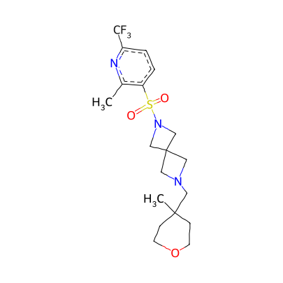 Cc1nc(C(F)(F)F)ccc1S(=O)(=O)N1CC2(CN(CC3(C)CCOCC3)C2)C1